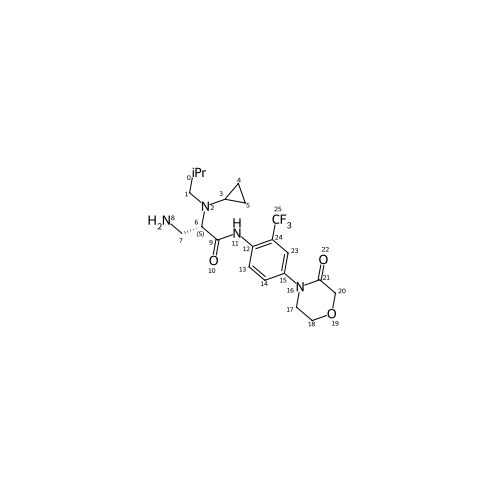 CC(C)CN(C1CC1)[C@@H](CN)C(=O)Nc1ccc(N2CCOCC2=O)cc1C(F)(F)F